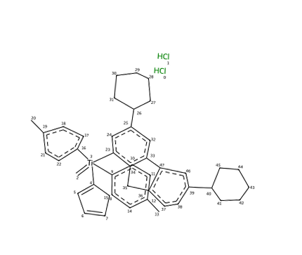 Cl.Cl.[CH2]=[Ti]([C]1=CC=CC1)([c]1ccc(C)cc1)([c]1ccc(C)cc1)[c]1cc(C2CCCCC2)cc2c1Cc1ccc(C3CCCCC3)cc1-2